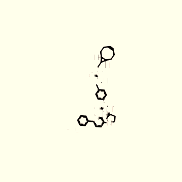 C[C@]12CCN(C1)c1ccc(-c3cccc(C(F)(F)F)c3)nc1N2C(=O)Nc1ccc(CNC(=O)OCC2[C@H]3CCC#CCC[C@@H]23)cc1